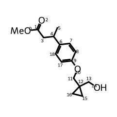 COC(=O)CC(C)c1ccc(OCC2(CO)CC2)cc1